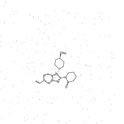 C=Cc1ccc2c(c1)nc(N1CCCCC1=O)n2[C@H]1CC[C@H](OC)CC1